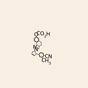 Cc1cc(C2C=CCC2N2CC3CCc4cc(OC(=O)O)ccc4C3=N2)ccc1C#N